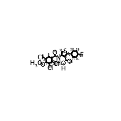 COc1c(Cl)cc(C(=O)Nc2csc(-c3ccc(F)cc3)c2C(=O)O)c(Cl)c1Cl